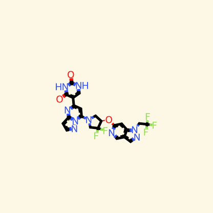 O=c1[nH]cc(-c2cc(N3C[C@H](Oc4cc5c(cn4)cnn5CC(F)(F)F)C(F)(F)C3)n3nccc3n2)c(=O)[nH]1